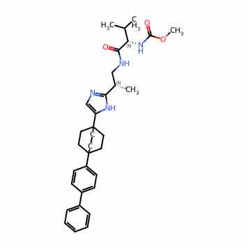 COC(=O)N[C@H](C(=O)NC[C@H](C)c1ncc(C23CCC(c4ccc(-c5ccccc5)cc4)(CC2)CC3)[nH]1)C(C)C